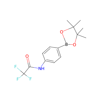 CC1(C)OB(c2ccc(NC(=O)C(F)(F)F)cc2)OC1(C)C